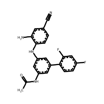 CC(=O)Nc1cc(Nc2ccc(C#N)cc2N)cc(-c2ccc(F)cc2F)c1